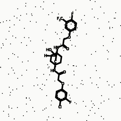 O=C(COc1ccc(Cl)c(F)c1)NC12CCC(NC(=O)COc3ccc(F)c(C(F)(F)F)c3)(CC1)[C@@H](O)C2